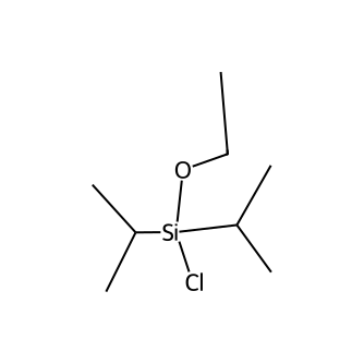 CCO[Si](Cl)(C(C)C)C(C)C